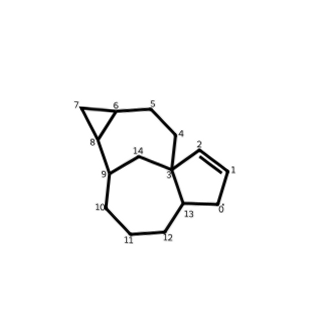 [CH]1C=CC23CCC4CC4C(CCCC12)C3